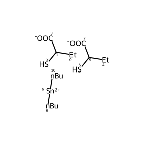 CCC(S)C(=O)[O-].CCC(S)C(=O)[O-].CCC[CH2][Sn+2][CH2]CCC